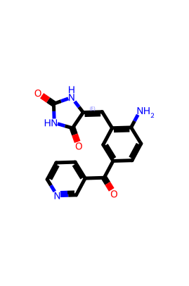 Nc1ccc(C(=O)c2cccnc2)cc1/C=C1/NC(=O)NC1=O